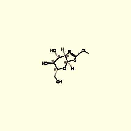 COC1=N[C@@H]2[C@@H](O)[C@H](O)[C@@H](CO)O[C@@H]2S1